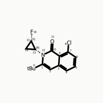 CC(C)(C)c1cc2cccc(Cl)c2c(=O)n1[C@@H]1C[C@@H]1F